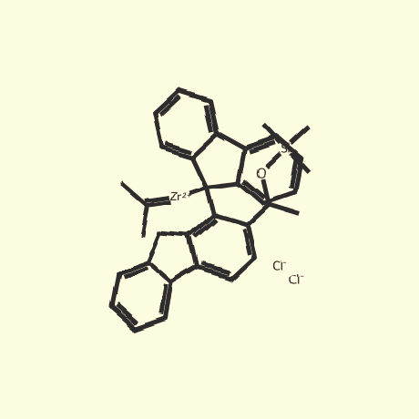 C[C](C)=[Zr+2][C]1(c2c(C(C)O[Si](C)(C)C)ccc3c2Cc2ccccc2-3)c2ccccc2-c2ccccc21.[Cl-].[Cl-]